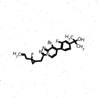 C=CCC1(F)CC1Cc1nnc2c(Br)c(-c3ccc(C(C)(C)O)cc3F)ccn12